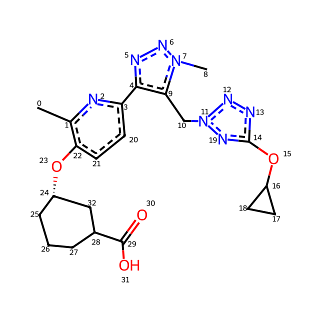 Cc1nc(-c2nnn(C)c2Cn2nnc(OC3CC3)n2)ccc1O[C@H]1CCCC(C(=O)O)C1